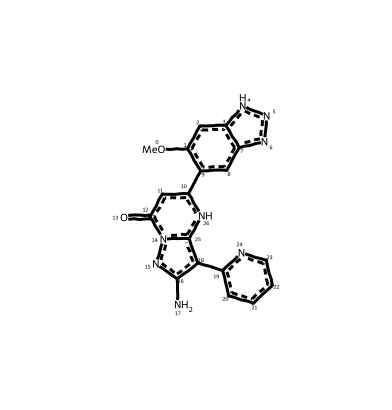 COc1cc2[nH]nnc2cc1-c1cc(=O)n2nc(N)c(-c3ccccn3)c2[nH]1